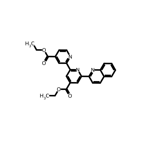 CCOC(=O)c1ccnc(-c2cc(C(=O)OCC)cc(-c3ccc4ccccc4n3)n2)c1